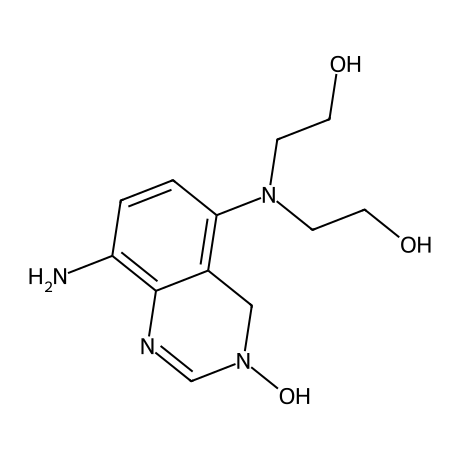 Nc1ccc(N(CCO)CCO)c2c1N=CN(O)C2